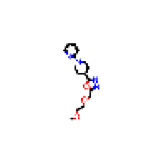 COCCOCc1nnc(C2CCN(c3ccccn3)CC2)o1